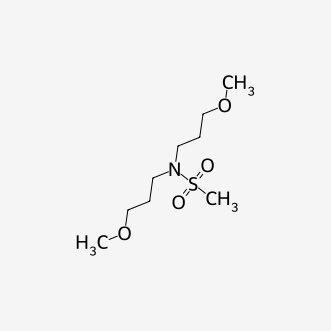 COCCCN(CCCOC)S(C)(=O)=O